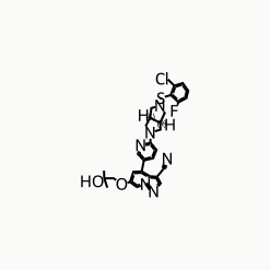 CC(C)(O)COc1cc(-c2ccc(N3C[C@H]4CN(Sc5c(F)cccc5Cl)C[C@H]4C3)nc2)c2c(C#N)cnn2c1